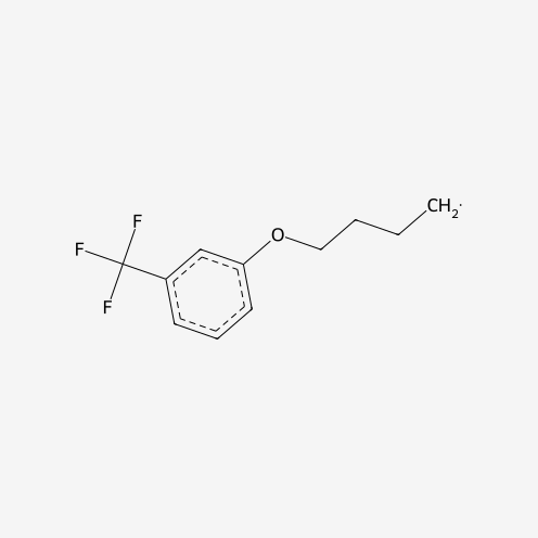 [CH2]CCCOc1cccc(C(F)(F)F)c1